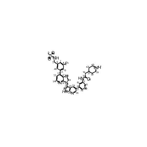 CS(=O)(=O)NCc1cc(F)cc(-c2ccnc3c2ncn3-c2n[nH]c3ncc(-c4cncc(NC(=O)CC5CCNCC5)c4)cc23)c1